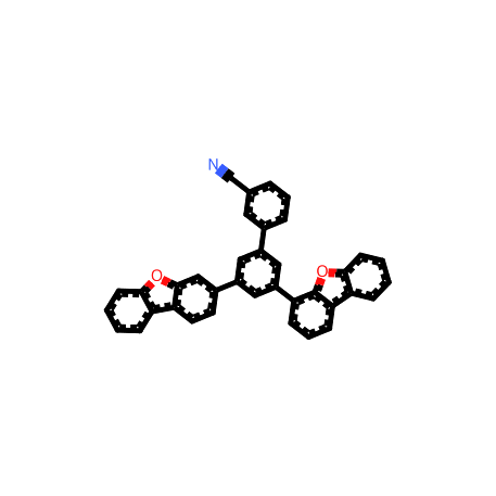 N#Cc1cccc(-c2cc(-c3ccc4c(c3)oc3ccccc34)cc(-c3cccc4c3oc3ccccc34)c2)c1